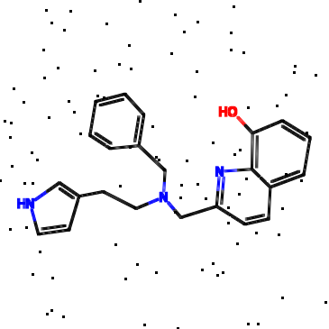 Oc1cccc2ccc(CN(CCc3cc[nH]c3)Cc3ccccc3)nc12